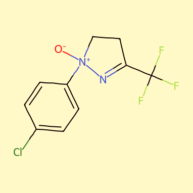 [O-][N+]1(c2ccc(Cl)cc2)CCC(C(F)(F)F)=N1